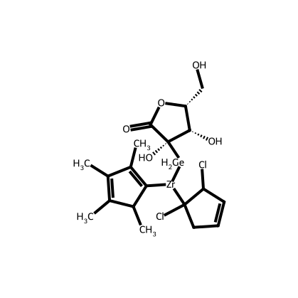 CC1=C(C)C(C)[C]([Zr]([GeH2][C@@]2(O)C(=O)O[C@H](CO)[C@@H]2O)[C]2(Cl)CC=CC2Cl)=C1C